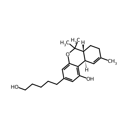 CC1=C[C@H]2c3c(O)cc(CCCCCO)cc3OC(C)(C)[C@@H]2CC1